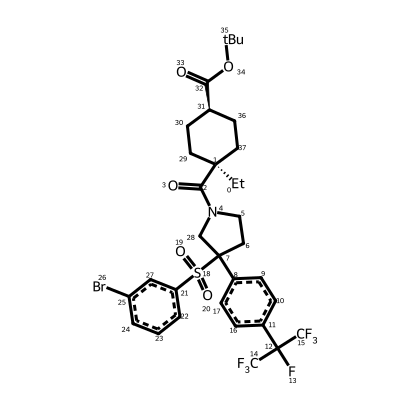 CC[C@]1(C(=O)N2CCC(c3ccc(C(F)(C(F)(F)F)C(F)(F)F)cc3)(S(=O)(=O)c3cccc(Br)c3)C2)CC[C@@H](C(=O)OC(C)(C)C)CC1